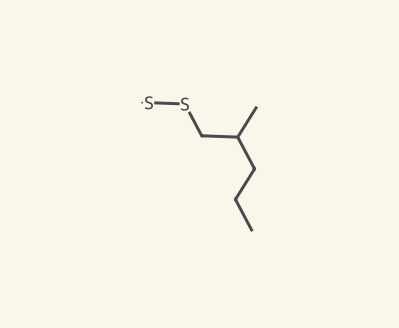 CCCC(C)CS[S]